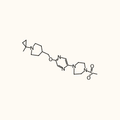 CC1(N2CCC(COc3cnc(N4CCN(S(C)(=O)=O)CC4)cn3)CC2)CC1